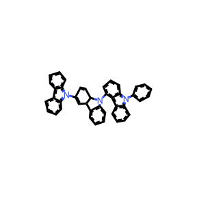 C1=CC2C(C=C1n1c3ccccc3c3ccccc31)c1ccccc1N2c1cccc2c1c1ccccc1n2-c1ccccc1